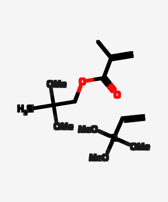 C=C(C)C(=O)OCC([SiH3])(OC)OC.C=C[Si](OC)(OC)OC